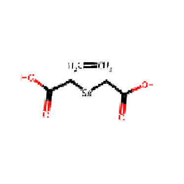 C=C.O=C(O)C[Se]CC(=O)O